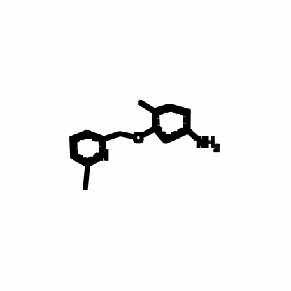 Cc1cccc(COc2cc(N)ccc2C)n1